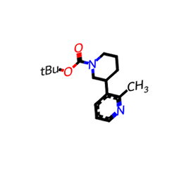 Cc1ncccc1C1CCCN(C(=O)OC(C)(C)C)C1